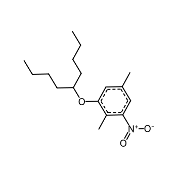 CCCCC(CCCC)Oc1cc(C)cc([N+](=O)[O-])c1C